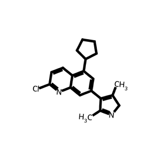 CC1=NCC(C)=C1c1cc(C2CCCC2)c2ccc(Cl)nc2c1